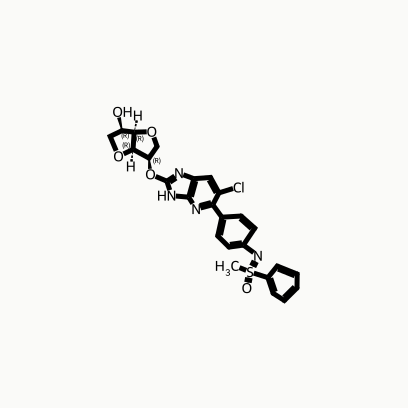 CS(=O)(=Nc1ccc(-c2nc3[nH]c(O[C@@H]4CO[C@H]5[C@@H]4OC[C@H]5O)nc3cc2Cl)cc1)c1ccccc1